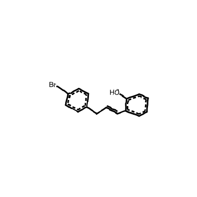 Oc1ccccc1C=CCc1ccc(Br)cc1